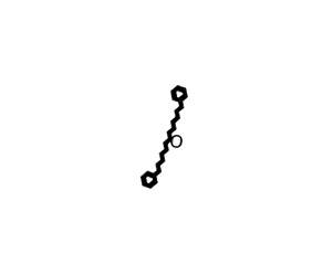 O=C(CCCCCCc1ccccc1)CCCCCCc1ccccc1